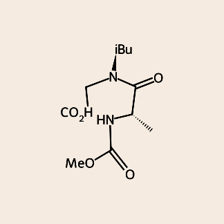 CC[C@H](C)N(CC(=O)O)C(=O)[C@H](C)NC(=O)OC